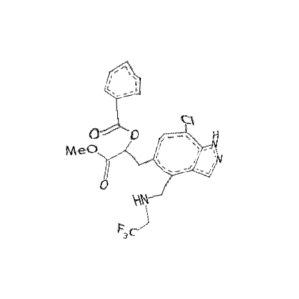 COC(=O)C(Cc1cc(Cl)c2[nH]ncc2c1CNCC(F)(F)F)OC(=O)c1ccccc1